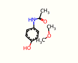 CC(=O)Nc1ccc(O)cc1.COC